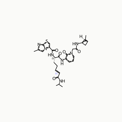 Cc1cn2c(C(=O)N[C@@H](CC/C=C/C(=O)NC(C)C)C(=O)Nc3cccn(CC(=O)NC45CC(C4)[C@@H]5C)c3=O)csc2n1